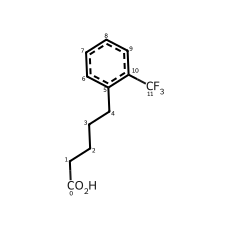 O=C(O)CCCCc1ccccc1C(F)(F)F